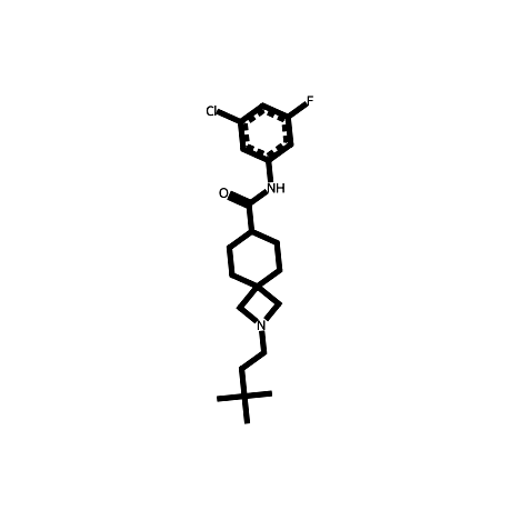 CC(C)(C)CCN1CC2(CCC(C(=O)Nc3cc(F)cc(Cl)c3)CC2)C1